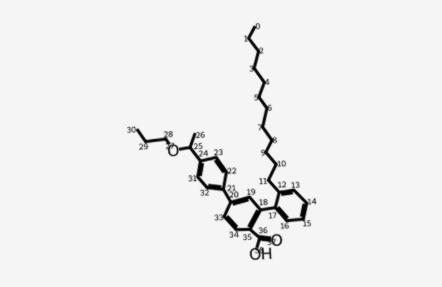 CCCCCCCCCCCCc1ccccc1-c1cc(-c2ccc(C(C)OCCC)cc2)ccc1C(=O)O